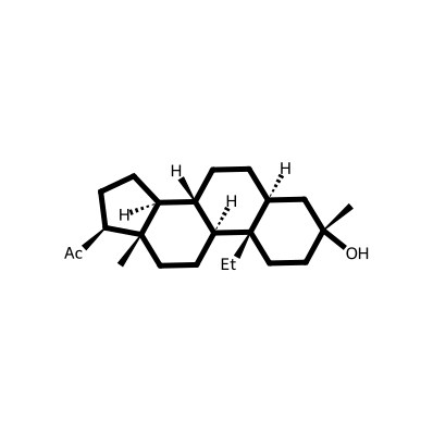 CC[C@]12CC[C@@](C)(O)C[C@@H]1CC[C@H]1[C@@H]3CC[C@H](C(C)=O)[C@@]3(C)CC[C@@H]12